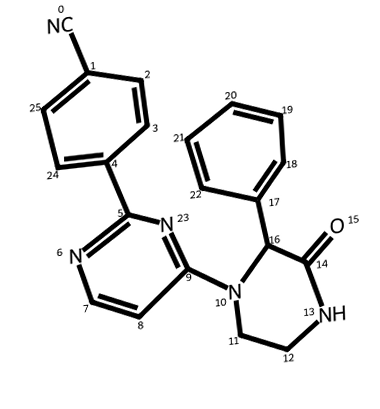 N#Cc1ccc(-c2nccc(N3CCNC(=O)C3c3ccccc3)n2)cc1